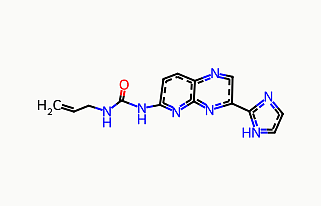 C=CCNC(=O)Nc1ccc2ncc(-c3ncc[nH]3)nc2n1